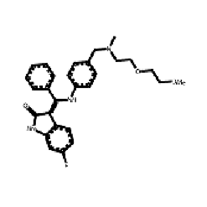 COCCOCCN(C)Cc1ccc(NC(=C2C(=O)Nc3cc(F)ccc32)c2ccccc2)cc1